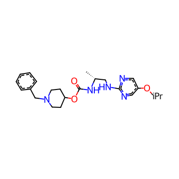 CC(C)Oc1cnc(NC[C@@H](C)NC(=O)OC2CCN(Cc3ccccc3)CC2)nc1